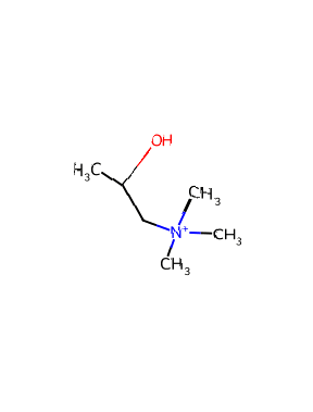 CC(O)C[N+](C)(C)C